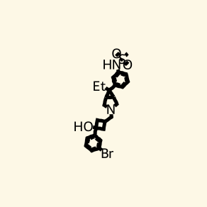 CCC1(c2cccc(NS(C)(=O)=O)c2)C2CN(CC3CC(O)(c4cccc(Br)c4)C3)CC21